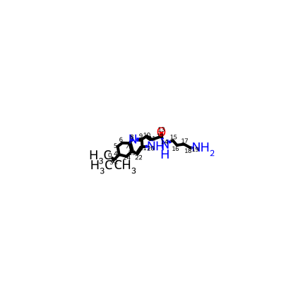 CC(C)(C)C1CCc2nc3cc(C(=O)NCCCCN)[nH]c3cc2C1